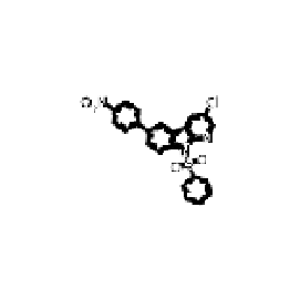 O=[N+]([O-])c1ccc(-c2ccc3c(c2)c2cc(Cl)cnc2n3S(=O)(=O)c2ccccc2)cc1